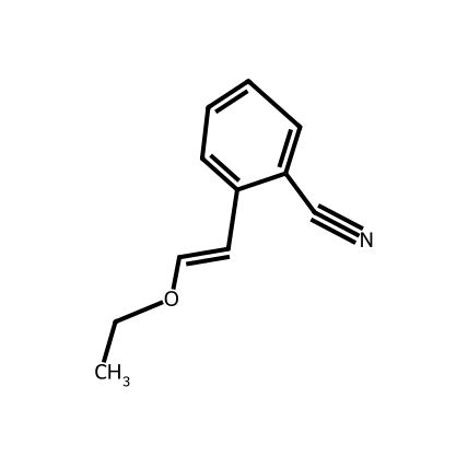 CCOC=Cc1ccccc1C#N